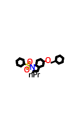 CCCc1cc2cc(OCc3ccccc3)ccc2n1S(=O)(=O)c1ccccc1